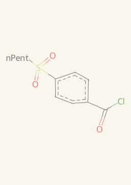 CCCCCS(=O)(=O)c1ccc(C(=O)Cl)cc1